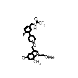 COCCn1cc(CON2CCC(c3cc(CNC(=O)C(F)(F)F)ccc3F)CC2)c2cc(Cl)cc(C)c21